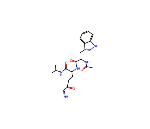 CC(=O)N[C@@H](Cc1c[nH]c2ccccc12)C(=O)N[C@@H](CCC(=O)C=N)C(=O)NC(C)C